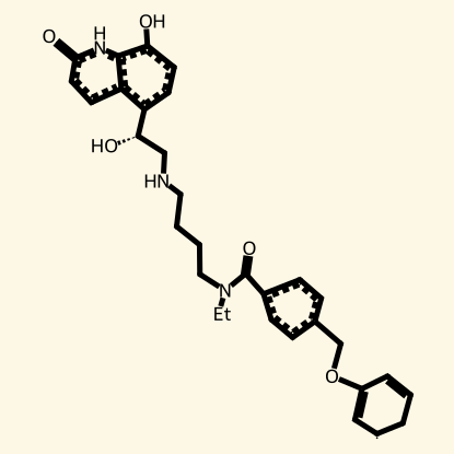 CCN(CCCCNC[C@H](O)c1ccc(O)c2[nH]c(=O)ccc12)C(=O)c1ccc(COC2=C[CH]CC=C2)cc1